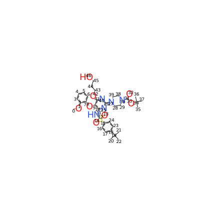 COc1ccccc1Oc1c(NS(=O)(=O)c2ccc(C(C)(C)C)cc2)nc(N2CCN(C(=O)OC(C)(C)C)CC2)nc1OCCCO